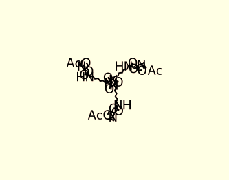 CC(=O)OCC(CN1CC1C)OC(=O)NCCCCCCn1c(=O)n(CCCCCCNC(=O)OC(COC(C)=O)CN2CC2C)c(=O)n(CCCCCCNC(=O)OC(COC(C)=O)CN2CC2C)c1=O